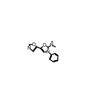 CN(C)C1OC(c2cnco2)=[C]N1c1ccccc1